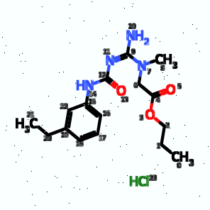 CCCOC(=O)CN(C)/C(N)=N\C(=O)Nc1cccc(CC)c1.Cl